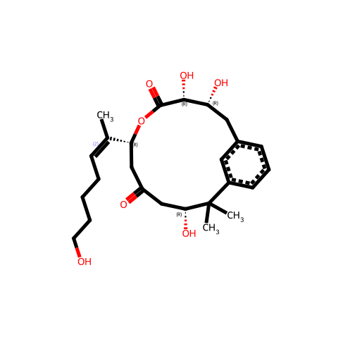 C/C(=C/CCCCO)[C@H]1CC(=O)C[C@@H](O)C(C)(C)c2cccc(c2)C[C@@H](O)[C@@H](O)C(=O)O1